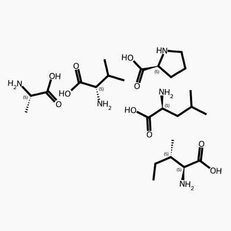 CC(C)C[C@H](N)C(=O)O.CC(C)[C@H](N)C(=O)O.CC[C@H](C)[C@H](N)C(=O)O.C[C@H](N)C(=O)O.O=C(O)[C@@H]1CCCN1